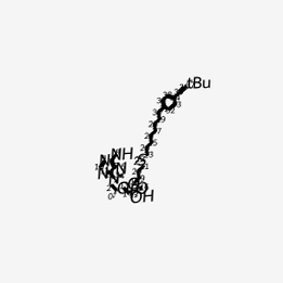 C[C@H](Cn1cnc2c(N)ncnc21)OCP(=O)(O)OCCCSCCCCCCCCc1ccc(C#CC(C)(C)C)cc1